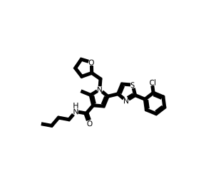 CCCCNC(=O)c1cc(-c2csc(-c3ccccc3Cl)n2)n(CC2CCCO2)c1C